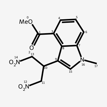 COC(=O)c1cccc2c1c(C(C[N+](=O)[O-])C[N+](=O)[O-])cn2C